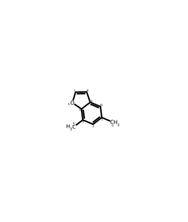 Cc1cc(C)c2occc2c1